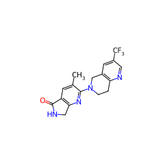 Cc1cc2c(nc1N1CCc3ncc(C(F)(F)F)cc3C1)CNC2=O